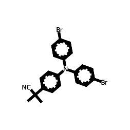 CC(C)(C#N)c1ccc(N(c2ccc(Br)cc2)c2ccc(Br)cc2)cc1